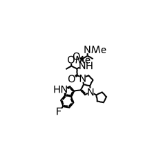 CNC(C)C(=O)NC(C(=O)N1CCC2C1C(c1c[nH]c3cc(F)ccc13)=CN2C1CCCC1)C(C)OC